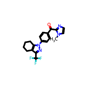 Cn1ccnc1C(=O)c1ccc(-n2nc(C(F)(F)F)c3c2CCCC3)cc1